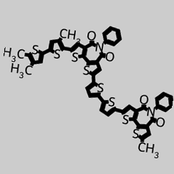 Cc1cc2c(=O)n(-c3ccccc3)c(=O)c3cc(-c4ccc(-c5ccc(-c6cc7c(=O)n(-c8ccccc8)c(=O)c8cc(-c9sc(-c%10cc(C)c(C)s%10)cc9C)sc8c7s6)s5)s4)sc3c2s1